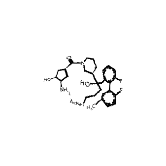 CC(=O)NCCC[C@@](O)(c1cccc(F)c1-c1cc(C)ccc1F)[C@@H]1CCCN(C(=O)[C@H]2C[C@@H](N)[C@@H](O)C2)C1